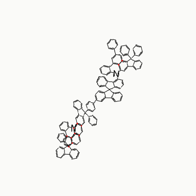 c1ccc(-c2cccc(-c3ccccc3N(c3ccc4c(c3)-c3ccccc3C4(c3ccccc3)c3ccccc3)c3cccc4c3-c3ccccc3C43c4ccccc4-c4cc(-c5ccc(C6(c7ccccc7)c7ccccc7-c7cc(N(c8ccccc8-c8ccccc8-c8ccccc8)c8cccc9c8-c8ccccc8C98c9ccccc9-c9ccccc98)ccc76)cc5)ccc43)c2)cc1